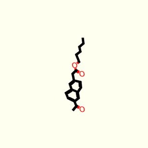 CCCCCCOC(=O)Cc1ccc2cc(C(C)=O)ccc2c1